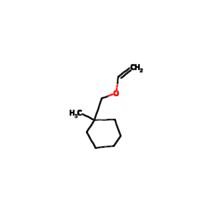 C=COCC1(C)CCCCC1